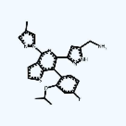 Cc1cnn(-c2nc(-c3cc(CN)[nH]n3)c(-c3ccc(F)cc3OC(C)C)c3sccc23)c1